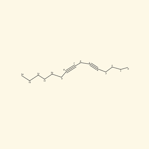 CCCCC#C[CH]C#CCCCCCC